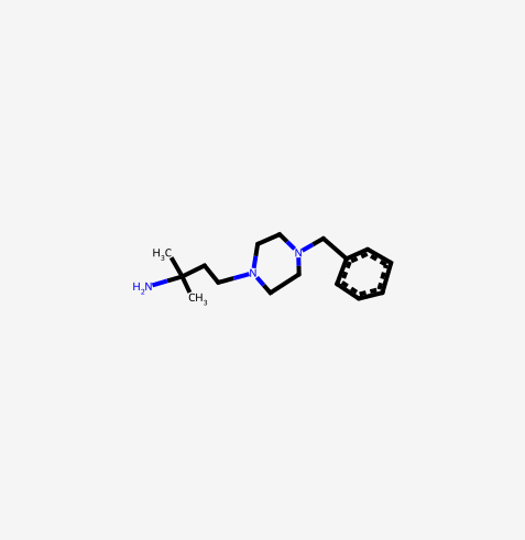 CC(C)(N)CCN1CCN(Cc2ccccc2)CC1